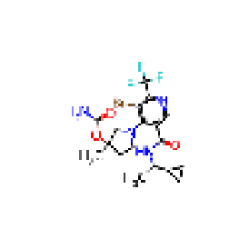 C[C@H](NC(=O)c1cnc(C(F)(F)F)c(Br)c1N1CCC(C)(OC(N)=O)C1)C1CC1